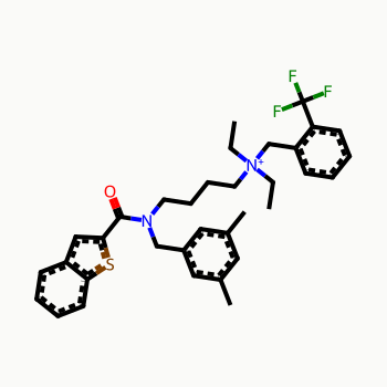 CC[N+](CC)(CCCCN(Cc1cc(C)cc(C)c1)C(=O)c1cc2ccccc2s1)Cc1ccccc1C(F)(F)F